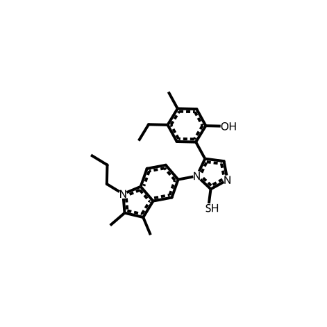 CCCn1c(C)c(C)c2cc(-n3c(-c4cc(CC)c(C)cc4O)cnc3S)ccc21